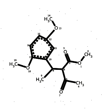 COC(=O)C(C(C)=O)C(C)c1cc(OC)ccc1OC